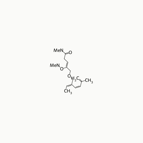 C=C(C)/C=C\C(=C/C)COC/C(=C/CC(=O)NC)ONC